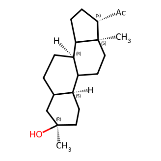 CC(=O)[C@H]1CCC2[C@@H]3CCC4C[C@](C)(O)CC[C@@H]4C3CC[C@@]21C